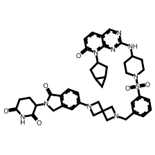 O=C1CCC(N2Cc3cc(N4CC5(CN(Cc6cccc(S(=O)(=O)N7CCC(Nc8ncc9ccc(=O)n(C%10CC%11CC%11C%10)c9n8)CC7)c6)C5)C4)ccc3C2=O)C(=O)N1